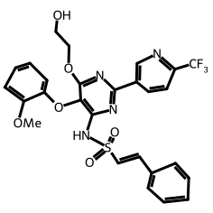 COc1ccccc1Oc1c(NS(=O)(=O)C=Cc2ccccc2)nc(-c2ccc(C(F)(F)F)nc2)nc1OCCO